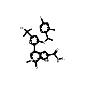 CCNC(=O)c1cc2c(-c3sc(C(C)(C)O)cc3OC(C)c3ncc(F)cc3C)cn(C)c(=O)c2[nH]1